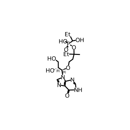 CCC(O)P(=O)(O)OC(C)(CC)CCO[C@H]([C@H](O)CO)n1cnc2c(=O)[nH]cnc21